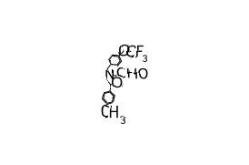 Cc1ccc(C2CN(Cc3ccc(OC(F)(F)F)cc3)C(C=O)O2)cc1